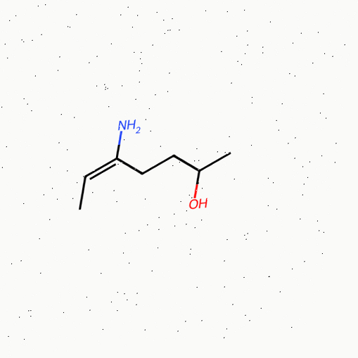 C/C=C(/N)CCC(C)O